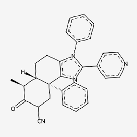 C[C@@H]1C(=O)C(C#N)C[C@]2(c3ccccc3)c3nc(-c4ccncc4)n(-c4ccccc4)c3CC[C@@H]12